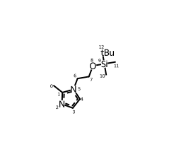 Cc1nccn1CCO[Si](C)(C)C(C)(C)C